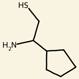 NC(CS)C1CCCC1